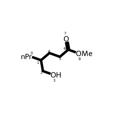 CCCC(CO)CCC(=O)OC